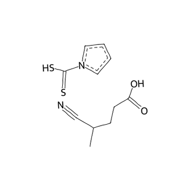 CC(C#N)CCC(=O)O.S=C(S)n1cccc1